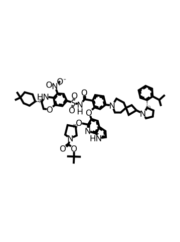 CC(C)c1ccccc1[C@@H]1CCCN1C1CC2(CCN(c3ccc(C(=O)NS(=O)(=O)c4cc5c(c([N+](=O)[O-])c4)N[C@@H](C4CCC(C)(C)CC4)CO5)c(Oc4cc5cc[nH]c5nc4O[C@H]4CCN(C(=O)OC(C)(C)C)C4)c3)CC2)C1